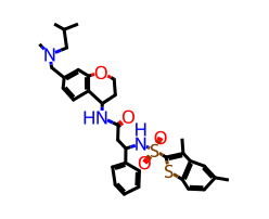 Cc1ccc2sc(S(=O)(=O)NC(CC(=O)NC3CCOc4cc(CN(C)CC(C)C)ccc43)c3ccccc3)c(C)c2c1